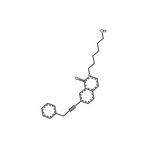 O=c1c2cc(C#CCc3ccccc3)ccc2ccn1CCCCCCO